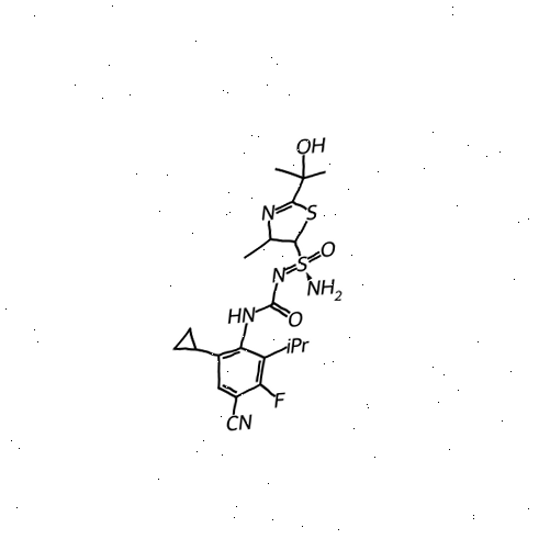 CC(C)c1c(F)c(C#N)cc(C2CC2)c1NC(=O)N=[S@@](N)(=O)C1SC(C(C)(C)O)=NC1C